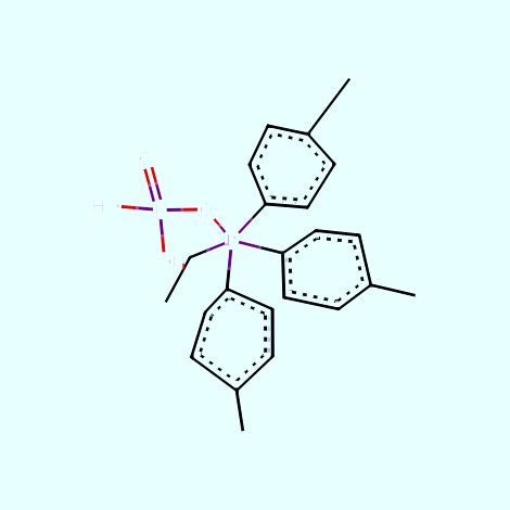 CCP(OP(=O)(O)O)(c1ccc(C)cc1)(c1ccc(C)cc1)c1ccc(C)cc1